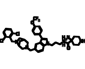 NC1(C(=O)NCCCn2cc(-c3ccc(OC(F)(F)F)cc3)c3cc(CN4CC5CC(C4)N(Cc4c(Cl)cccc4Cl)C5)ccc32)CCNCC1